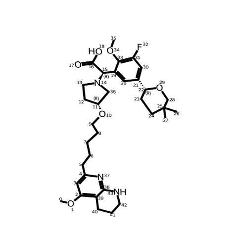 COc1cc(CCCCCO[C@@H]2CCN([C@@H](C(=O)O)c3cc([C@H]4CCC(C)(C)CO4)cc(F)c3OC)C2)nc2c1CCCN2